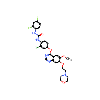 COc1cc2c(Oc3ccc(NC(=O)Nc4ccc(F)cc4F)c(Cl)c3)ncnc2cc1OCCN1CCOCC1